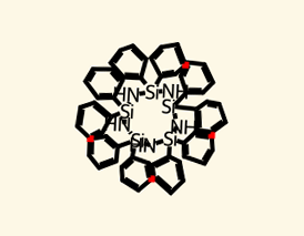 c1ccc([Si]2(c3ccccc3)N[Si](c3ccccc3)(c3ccccc3)N[Si](c3ccccc3)(c3ccccc3)N[Si](c3ccccc3)(c3ccccc3)N[Si](c3ccccc3)(c3ccccc3)N2)cc1